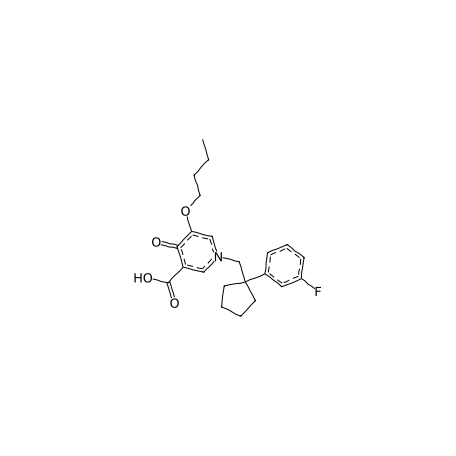 CCCCOc1cn(CC2(c3cccc(F)c3)CCCC2)cc(C(=O)O)c1=O